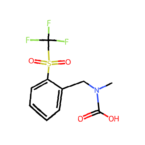 CN(Cc1ccccc1S(=O)(=O)C(F)(F)F)C(=O)O